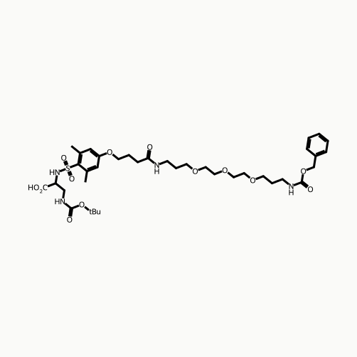 Cc1cc(OCCCC(=O)NCCCOCCOCCOCCCNC(=O)OCc2ccccc2)cc(C)c1S(=O)(=O)NC(CNC(=O)OC(C)(C)C)C(=O)O